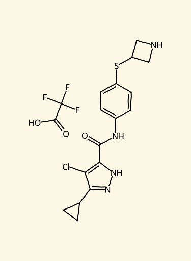 O=C(Nc1ccc(SC2CNC2)cc1)c1[nH]nc(C2CC2)c1Cl.O=C(O)C(F)(F)F